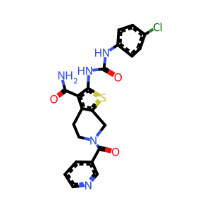 NC(=O)c1c(NC(=O)Nc2ccc(Cl)cc2)sc2c1CCN(C(=O)c1cccnc1)C2